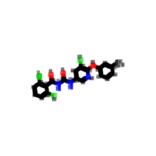 O=C(NC(=O)c1c(Cl)cccc1Cl)Nc1cnc(Oc2cccc(C(F)(F)F)c2)c(Cl)c1